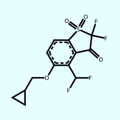 O=C1c2c(ccc(OCC3CC3)c2C(F)F)S(=O)(=O)C1(F)F